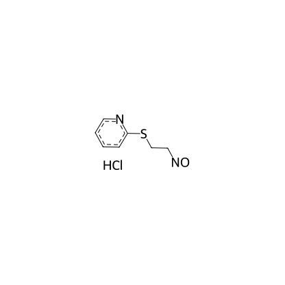 Cl.O=NCCSc1ccccn1